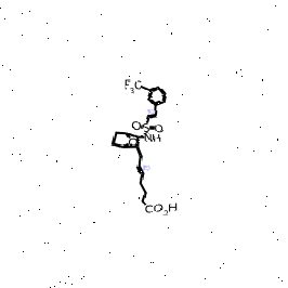 O=C(O)CCC/C=C/CC1C2CCC(O2)C1NS(=O)(=O)/C=C/c1cccc(C(F)(F)F)c1